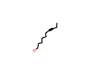 CCC#CCCCCCC[O]